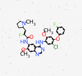 COc1cc2ncnc(Nc3cc(Cl)c(Oc4cccc(F)c4)cc3OC)c2cc1NC(=O)C(F)=CC1CCCN1C